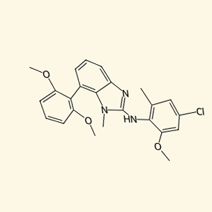 COc1cc(Cl)cc(C)c1Nc1nc2cccc(-c3c(OC)cccc3OC)c2n1C